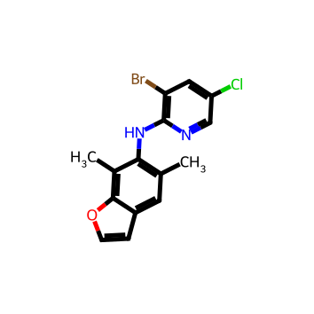 Cc1cc2ccoc2c(C)c1Nc1ncc(Cl)cc1Br